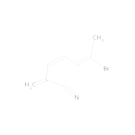 C=C(C#N)/C=C\C=C(/C)Br